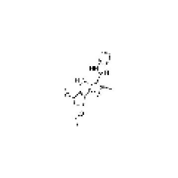 CCOc1cc(OC)cc(N2C(N)=C(c3nc4ccccc4[nH]3)C(=O)C2(C)C)c1